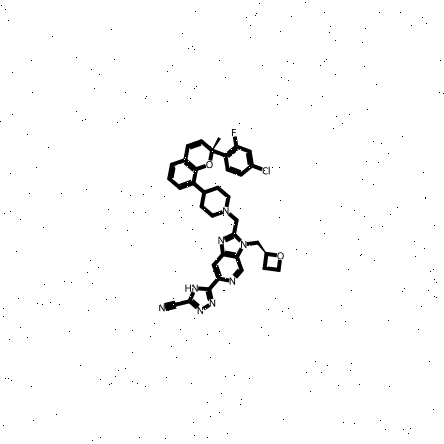 C[C@]1(c2ccc(Cl)cc2F)C=Cc2cccc(C3CCN(Cc4nc5cc(-c6nnc(C#N)[nH]6)ncc5n4C[C@@H]4CCO4)CC3)c2O1